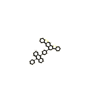 c1ccc(-c2c3ccccc3c(-c3ccc(-c4cc5c6ccccc6sc5c5cc6sc7ccccc7c6cc45)cc3)c3ccccc23)cc1